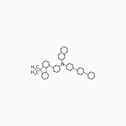 CC1(C)c2ccccc2-c2c(-c3cccc(N(c4ccc(-c5ccc(-c6ccccc6)cc5)cc4)c4ccc5ccccc5c4)c3)cccc21